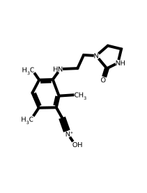 Cc1cc(C)c(NCCN2CCNC2=O)c(C)c1C#[N+]O